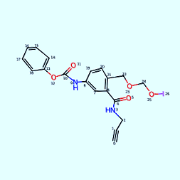 C#CCNC(=O)c1cc(NC(=O)Oc2ccccc2)ccc1COCOI